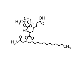 CCCCCCCCCCCCC[C@@H](CC(N)=O)OC(=O)C(CCCCC(=O)O)NC(=O)OC(C)(C)C